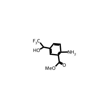 COC(=O)c1cc(C(O)C(F)(F)F)ccc1N